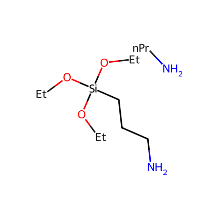 CCCN.CCO[Si](CCCN)(OCC)OCC